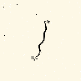 CCCCCCC[P]C